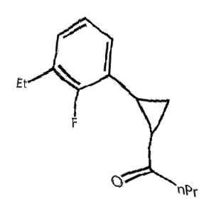 CCCC(=O)C1CC1c1cccc(CC)c1F